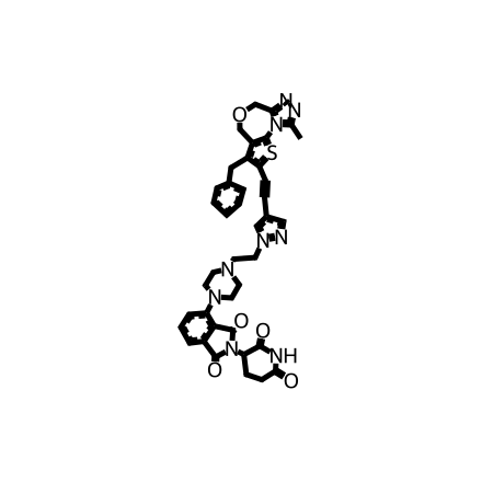 Cc1nnc2n1-c1sc(C#Cc3cnn(CCN4CCN(c5cccc6c5C(=O)N(C5CCC(=O)NC5=O)C6=O)CC4)c3)c(Cc3ccccc3)c1COC2